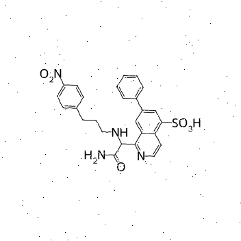 NC(=O)C(NCCCc1ccc([N+](=O)[O-])cc1)c1nccc2c(S(=O)(=O)O)cc(-c3ccccc3)cc12